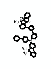 CC1(C)c2ccccc2-c2ccc(N(c3ccc(-c4ccccc4)cc3)c3cccc(-c4cccc(-c5cccc6c5-c5oc7ccccc7c5C6(C)C)c4)c3)cc21